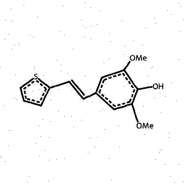 COc1cc(C=Cc2cccs2)cc(OC)c1O